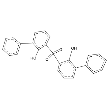 O=S(=O)(c1cccc(-c2ccccc2)c1O)c1cccc(-c2ccccc2)c1O